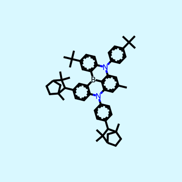 Cc1cc2c3c(c1)N(c1ccc(C(C)(C)C)cc1)c1ccc(C(C)(C)C)cc1B3c1cc(C3C4(C)CCC(C4)C3(C)C)ccc1N2c1ccc(C2C3(C)CCC(C3)C2(C)C)cc1